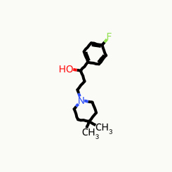 CC1(C)CCN(CCC(O)c2ccc(F)cc2)CC1